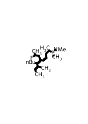 C/C=C(C)/C(CCCC)=C(\C=C/CC(C)P(C)NC)CC(C)F